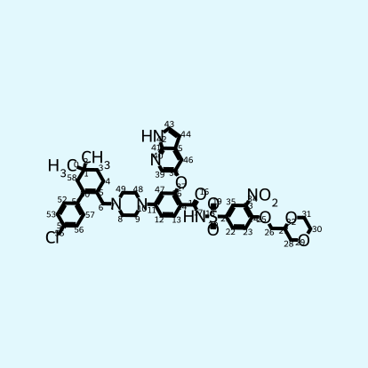 CC1(C)CCC(CN2CCN(c3ccc(C(=O)NS(=O)(=O)c4ccc(OCC5COCCO5)c([N+](=O)[O-])c4)c(Oc4cnc5[nH]ccc5c4)c3)CC2)=C(c2ccc(Cl)cc2)C1